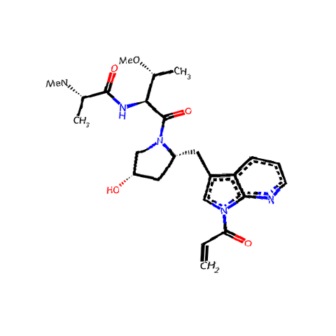 C=CC(=O)n1cc(C[C@@H]2C[C@H](O)CN2C(=O)[C@@H](NC(=O)[C@H](C)NC)[C@@H](C)OC)c2cccnc21